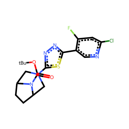 CC(C)(C)OC(=O)N1C2CCC1CN(c1nnc(-c3cnc(Cl)cc3F)s1)C2